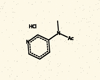 CC(=O)N(C)c1cccnc1.Cl